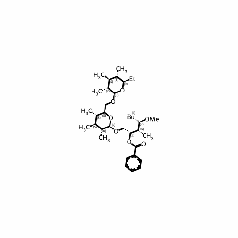 CC[C@@H](C)[C@@H](OC)[C@H](C)[C@@H](CO[C@@H]1O[C@H](CO[C@@H]2O[C@H](CC)[C@@H](C)[C@H](C)[C@H]2C)[C@@H](C)[C@H](C)[C@H]1C)OC(=O)c1ccccc1